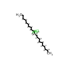 CCCCCCCCC[CH2][Sn][CH2]CCCCCCCCC.Cl.Cl